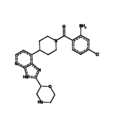 Nc1cc(Cl)ccc1C(=O)N1CCC(c2ccnc3[nH]c(C4CNCCO4)nc23)CC1